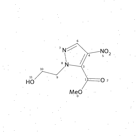 COC(=O)c1c([N+](=O)[O-])cnn1CCO